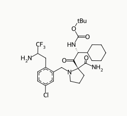 CC(C)(C)OC(=O)N[C@@H](C(=O)[C@@]1(C(N)=O)CCCN1Cc1cc(Cl)ccc1CC(N)C(F)(F)F)C1CCCCC1